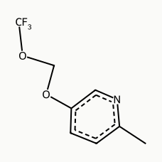 Cc1ccc(OCOC(F)(F)F)cn1